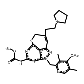 COc1c(C)cnc(Cn2nc3c4c(nc(NC(=O)OC(C)(C)C)nc42)SCC(CCN2CCCC2)=C3)c1C